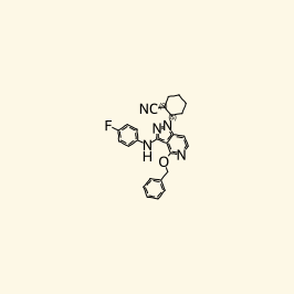 N#C[C@H]1CCCC[C@@H]1n1nc(Nc2ccc(F)cc2)c2c(OCc3ccccc3)nccc21